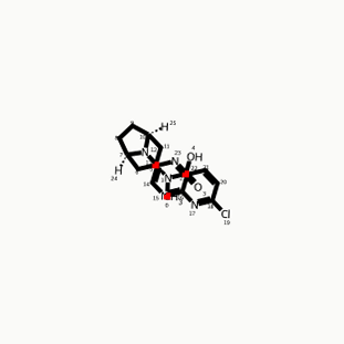 CN(C(=O)O)[C@H]1C[C@H]2CC[C@@H](C1)N2c1cnc2nc(Cl)ccc2n1